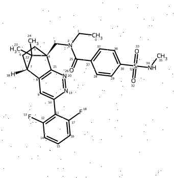 CCN(C[C@@]12CC[C@@H](c3cc(-c4c(F)cccc4F)nnc31)C2(C)C)C(=O)c1ccc(S(=O)(=O)NC)cc1